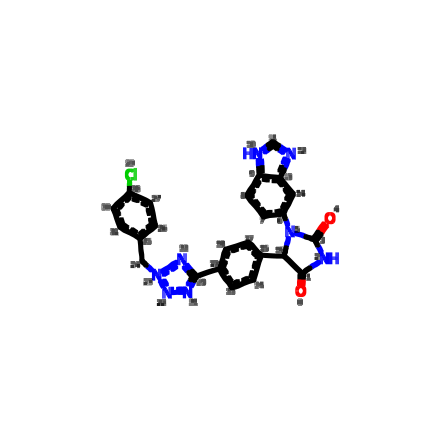 O=C1NC(=O)N(c2ccc3[nH]cnc3c2)C1c1ccc(-c2nnn(Cc3ccc(Cl)cc3)n2)cc1